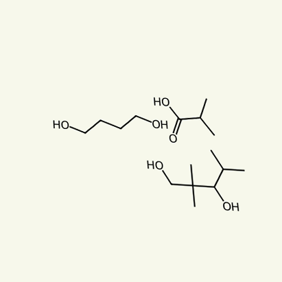 CC(C)C(=O)O.CC(C)C(O)C(C)(C)CO.OCCCCO